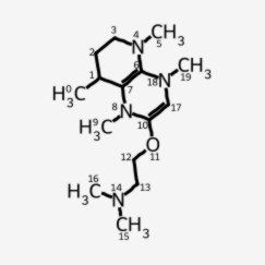 CC1CCN(C)C2=C1N(C)C(OCCN(C)C)=CN2C